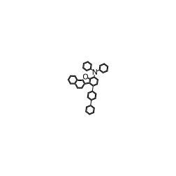 c1ccc(-c2ccc(-c3ccc(N(c4ccccc4)c4ccccc4)c4oc5c6ccccc6ccc5c34)cc2)cc1